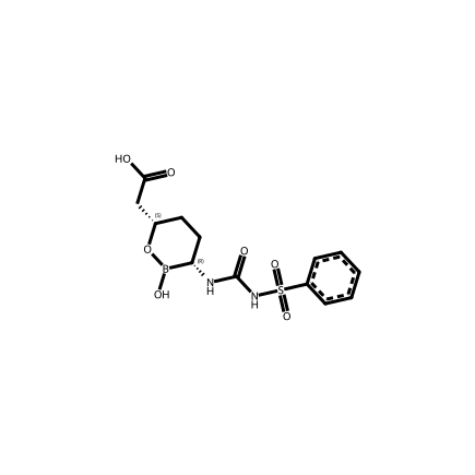 O=C(O)C[C@@H]1CC[C@H](NC(=O)NS(=O)(=O)c2ccccc2)B(O)O1